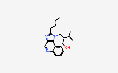 CCCCc1nc2cnc3ccccc3c2n1CC(CO)C(C)C